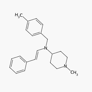 Cc1ccc(CN(C=Cc2ccccc2)C2CCN(C)CC2)cc1